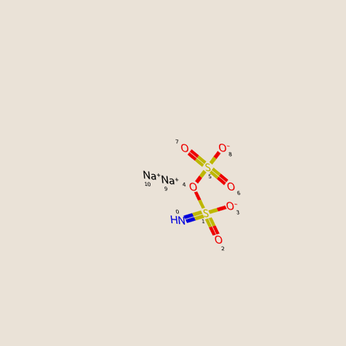 N=S(=O)([O-])OS(=O)(=O)[O-].[Na+].[Na+]